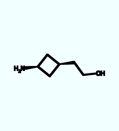 N[C@H]1C[C@@H](CCO)C1